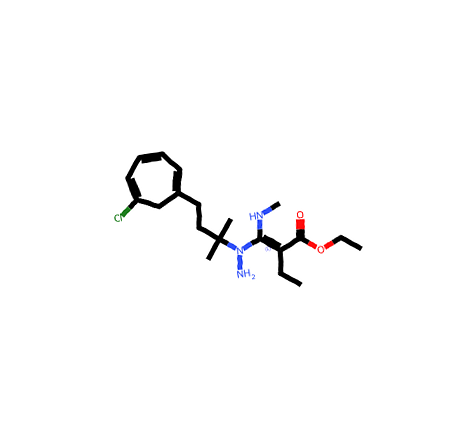 CCOC(=O)/C(CC)=C(\NC)N(N)C(C)(C)CCC1=CC=CC=C(Cl)C1